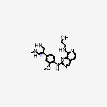 CN/C=C(\C=N)c1ccc(Nc2ncc3ccnc(NCCO)c3n2)c(OC)c1